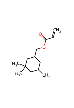 C=CC(=O)OCC1CC(C)CC(C)(C)C1